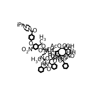 CC(=O)O[C@H]1C(=O)[C@@]2(C)[C@H]([C@H](OC(=O)c3ccccc3)[C@]3(O)C[C@H](OC(=O)[C@H](OC(=O)N(C)CCN(C)C(=O)OC(C)c4ccc([N+](=O)[O-])c(Oc5ccc(C(=O)N6CCN(C(C)C)CC6)cc5)c4)[C@@H](NC(=O)c4ccccc4)c4ccccc4)C(C)=C1C3(C)C)[C@]1(OC(C)=O)CO[C@@H]1C[C@@H]2O